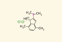 Cc1ccc(C)c2c1C=C(P(C)C)[CH]2[Hf+2].[Cl-].[Cl-]